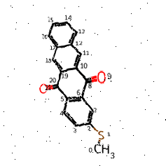 CSc1ccc2c(c1)C(=O)c1cc3ccccc3cc1C2=O